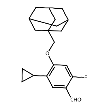 O=[C]c1cc(C2CC2)c(OCC23CC4CC(CC(C4)C2)C3)cc1F